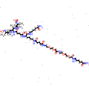 C/C(=N\O)C(C)(C)NCC(CNC(C)(C)/C(C)=N/O)NC(=O)CCCC(=O)N[C@@H](CCCCNC(=O)CCCC(=O)NCCOCCOCC(=O)NCCOCCOCC(=O)NCCCCCC(N)=O)C(=O)NCCCCCC(N)=O